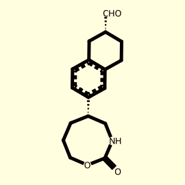 O=C[C@@H]1CCc2cc([C@H]3CCCOC(=O)NC3)ccc2C1